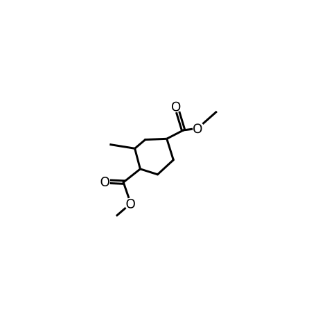 COC(=O)C1CCC(C(=O)OC)C(C)C1